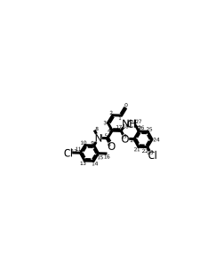 C=C/C=C\C(C(=O)N(C)c1cc(Cl)ccc1C)=C(/N)Oc1cc(Cl)ccc1Cl